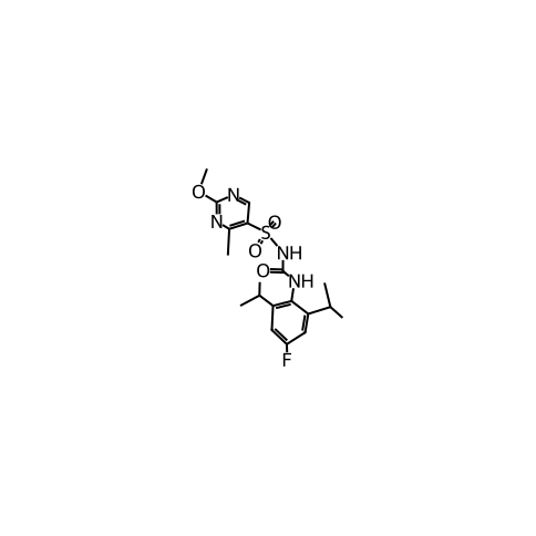 COc1ncc(S(=O)(=O)NC(=O)Nc2c(C(C)C)cc(F)cc2C(C)C)c(C)n1